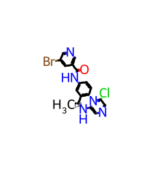 C[C@H](Nc1cncc(Cl)n1)c1cccc(NC(=O)c2cncc(Br)c2)c1